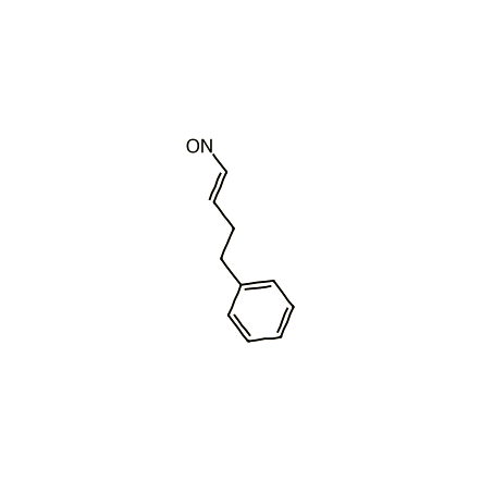 O=NC=CCCc1ccccc1